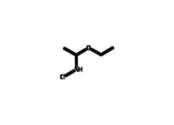 CCOC(C)NCl